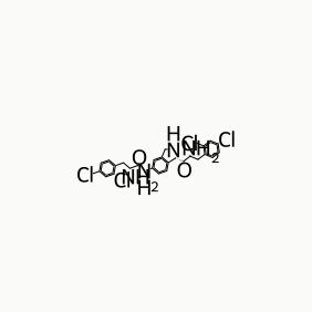 NC(Cc1ccc(Cl)cc1Cl)C(=O)Nc1ccc2c(c1)CN[C@@H]2C(=O)[C@H](N)Cc1ccc(Cl)cc1Cl